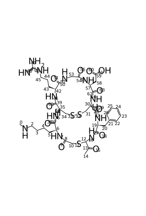 CNCCCC[C@@H]1NC(=O)CSC(C(C)=O)NC(=O)[C@H](Cc2ccccc2)NC(=O)[C@@H]2CSSC[C@H](NC1=O)C(=O)N[C@@H](CCCNC(=N)N)C(=O)NCC(=O)N[C@@H](CC(=O)O)C(=O)N2